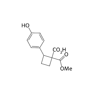 COC(=O)C1(C(=O)O)CCC1c1ccc(O)cc1